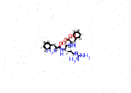 NC(N)=NCCC[C@H](NC(=O)[C@@H](N)Cc1ccccc1)C(=O)N[C@@H](Cc1ccccc1)C(=O)O